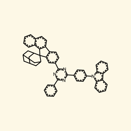 c1ccc(-c2nc(-c3ccc(-n4c5ccccc5c5ccccc54)cc3)nc(-c3ccc4c(c3)C3(c5c-4ccc4ccccc54)C4CC5CC(C4)CC3C5)n2)cc1